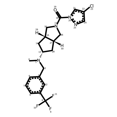 CN(Cc1cccc(C(F)(F)F)c1)[C@@H]1C[C@@H]2CN(C(=O)n3cc(Cl)cn3)C[C@@H]2C1